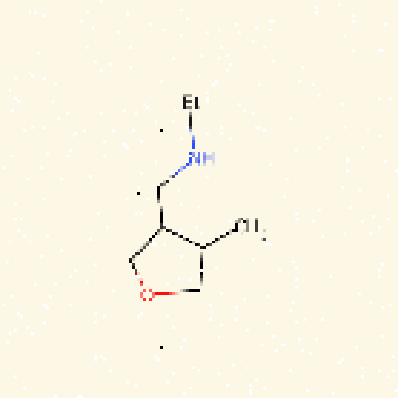 CCNCC1COCC1C